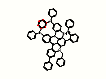 B1c2ccc(N(c3ccccc3)c3ccccc3)cc2N2c3cc(N(c4ccccc4)c4ccccc4)ccc3B3c4ccc(-c5ccccc5)cc4N(Cc4ccccc4)c4cc(-c5ccccc5Nc5ccccc5)c1c2c43